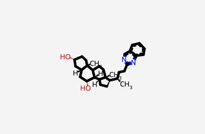 C[C@H](CCc1ncc2ccccc2n1)[C@H]1CC[C@H]2[C@H]3C(CC[C@]12C)[C@@]1(C)CC[C@@H](O)C[C@H]1C[C@H]3O